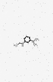 CCNc1cccc(N(C)C)c1